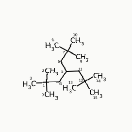 CC(C)(C)CC(CC(C)(C)C)CC(C)(C)C